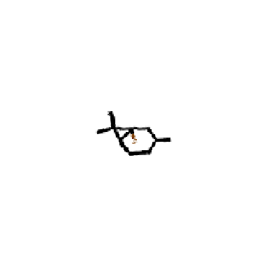 CC1CCC2C(C)(C)C2([S])C1